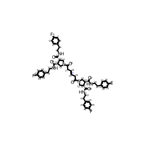 O=C(NCCc1ccc(F)cc1)[C@@H]1CN(C(=O)C/C=C/CC(=O)N2C[C@@H](C(=O)NCCc3ccc(F)cc3)[C@H](C(=O)NCCc3ccc(F)cc3)C2)C[C@H]1C(=O)NCCc1ccc(F)cc1